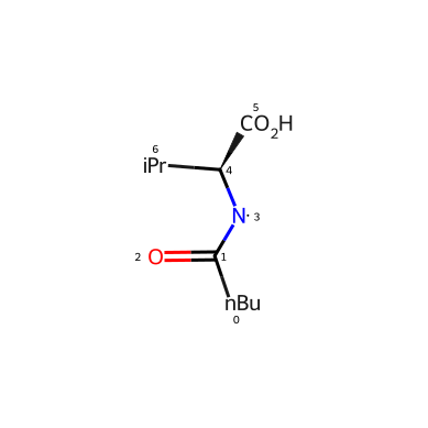 CCCCC(=O)[N][C@H](C(=O)O)C(C)C